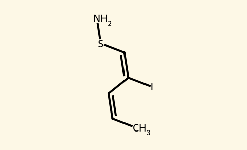 C/C=C\C(I)=C/SN